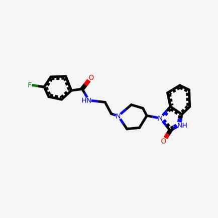 O=C(NCCN1CCC(n2c(=O)[nH]c3ccccc32)CC1)c1ccc(F)cc1